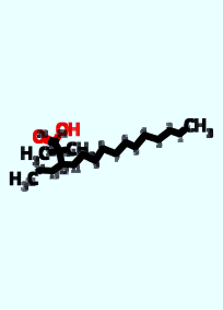 CCCCCCCCCCCCC(CCC)C(C)(C)C(=O)O